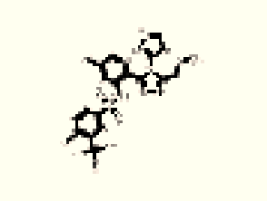 COCc1nnc(-c2ncc(Cl)cc2NS(=O)(=O)c2ccc(Cl)c(C(F)(F)F)c2)n1C1=NOCC1